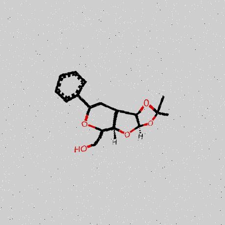 CC1(C)OC2C3CC(c4ccccc4)OC(CO)[C@H]3O[C@@H]2O1